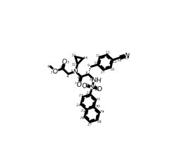 COC(=O)CN(C(=O)[C@H](Cc1ccc(C#N)cc1)NS(=O)(=O)c1ccc2ccccc2c1)C1CC1